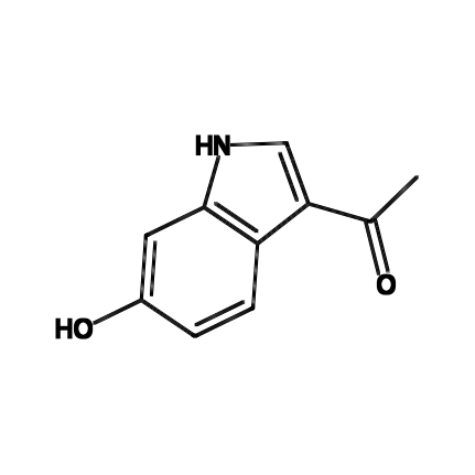 CC(=O)c1c[nH]c2cc(O)ccc12